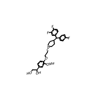 COc1cc(C(O)CO)ccc1OCCCN1CCC(C(c2ccc(F)cc2)c2ccc(F)c(F)c2)CC1